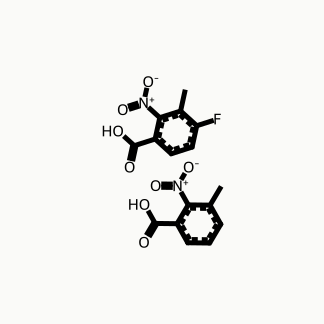 Cc1c(F)ccc(C(=O)O)c1[N+](=O)[O-].Cc1cccc(C(=O)O)c1[N+](=O)[O-]